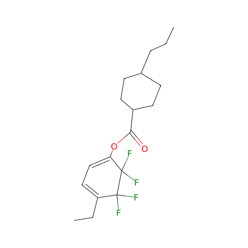 CCCC1CCC(C(=O)OC2=CC=C(CC)C(F)(F)C2(F)F)CC1